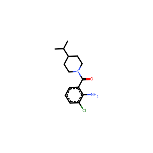 CC(C)C1CCN(C(=O)c2cccc(Cl)c2N)CC1